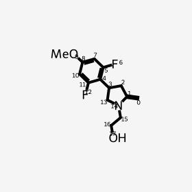 C=C1CC(c2c(F)cc(OC)cc2F)CN1CCO